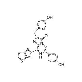 O=c1c(Cc2ccc(O)cc2)nc2c(-c3cc4sccc4s3)[nH]c(-c3ccc(O)cc3)cn1-2